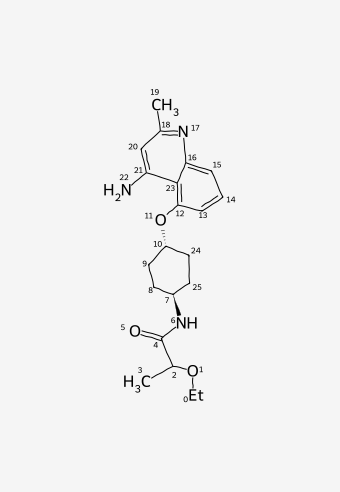 CCOC(C)C(=O)N[C@H]1CC[C@H](Oc2cccc3nc(C)cc(N)c23)CC1